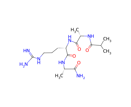 CC(C)C(=O)N[C@@H](C)C(=O)N[C@@H](CCCNC(=N)N)C(=O)N[C@@H](C)C(N)=O